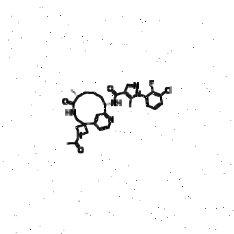 CC(=O)N1CC2(CNC(=O)[C@H](C)CCC[C@H](NC(=O)c3cnn(-c4cccc(Cl)c4F)c3C)c3cc2ccn3)C1